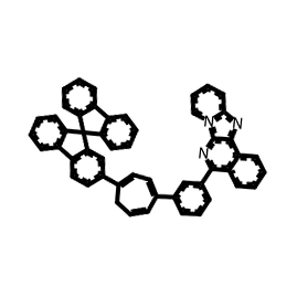 C1=CC(c2cccc(-c3nc4c(nc5ccccn54)c4ccccc34)c2)=CC=C(c2ccc3c(c2)C2(c4ccccc4-c4ccccc42)c2ccccc2-3)C1